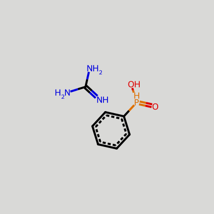 N=C(N)N.O=[PH](O)c1ccccc1